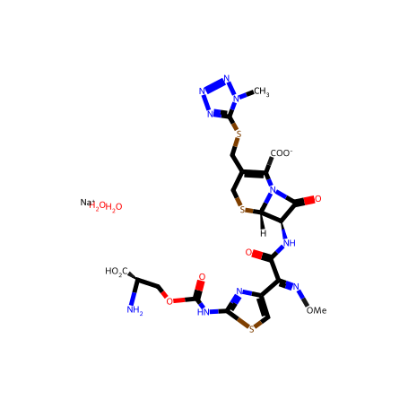 CON=C(C(=O)N[C@@H]1C(=O)N2C(C(=O)[O-])=C(CSc3nnnn3C)CS[C@@H]12)c1csc(NC(=O)OC[C@@H](N)C(=O)O)n1.O.O.[Na+]